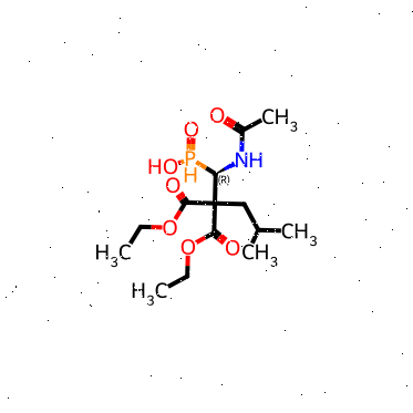 CCOC(=O)C(CC(C)C)(C(=O)OCC)[C@H](NC(C)=O)[PH](=O)O